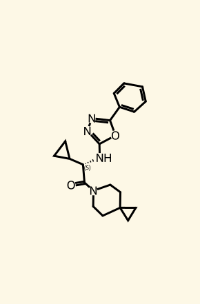 O=C([C@@H](Nc1nnc(-c2ccccc2)o1)C1CC1)N1CCC2(CC1)CC2